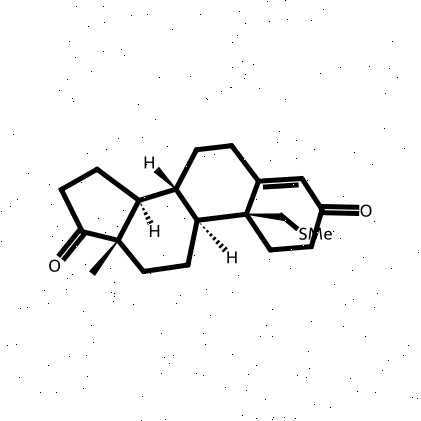 CSC[C@]12CCC(=O)C=C1CC[C@@H]1[C@@H]2CC[C@]2(C)C(=O)CC[C@@H]12